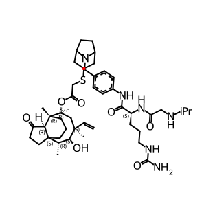 C=C[C@]1(C)C[C@@H](OC(=O)CSC2CC3CCC(C2)N3Cc2ccc(NC(=O)[C@H](CCCNC(N)=O)NC(=O)CNC(C)C)cc2)[C@]2(C)[C@H](C)CC[C@]3(CCC(=O)[C@H]32)[C@@H](C)[C@@H]1O